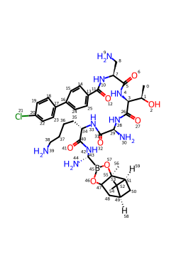 C[C@@H](O)[C@H](NC(=O)[C@H](CN)NC(=O)c1ccc(-c2ccc(Cl)cc2)cc1)C(=O)N[C@@H](N)C(=O)N[C@@H](CCCCN)C(=O)N[C@@H](N)B1OC2C[C@@H]3C[C@@H](C3(C)C)[C@]2(C)O1